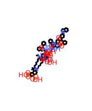 CC[N+]1=C(/C=C/C=C/C=C2\N(CCCCCC(=O)NCCNC(=O)[C@H](CCNC(=O)C3CCN(S(=O)(=O)c4ccccc4-c4c5cc/c(=[N+]6/CCc7ccccc76)cc-5oc5cc(N6CCc7ccccc76)ccc45)CC3)NC(=O)[C@H](CC3CCCCC3)NC(=O)c3ccccc3)c3ccc4c(S(=O)(=O)O)cc(S(=O)(=O)O)cc4c3C2(C)C)C(C)(C)c2c1ccc1c(S(=O)(=O)O)cc(S(=O)(=O)O)cc21